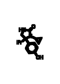 CC(C)C1(c2ccc(O)cc2)CNC(=O)N1C1CC1